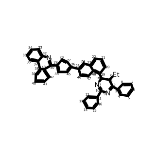 CCC1C(c2ccccc2)=NC(c2ccccc2)=NC1c1cccc2cc(-c3ccc(-c4nc5ccccc5c5ccccc45)cc3)ccc12